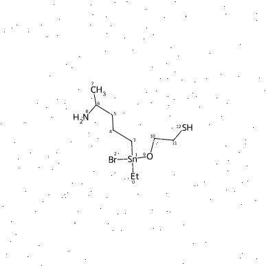 C[CH2][Sn]([Br])([CH2]CCC(C)N)[O]CCS